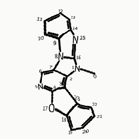 Cn1c2c3c(ncc2n2c4ccccc4nc12)oc1ccccc13